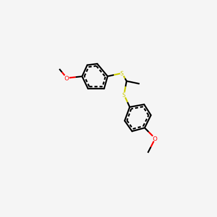 COc1ccc(SC(C)Sc2ccc(OC)cc2)cc1